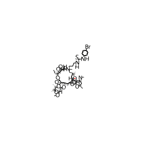 CC[C@H]1OC(=O)[C@H](C)[C@@H](O[C@@H](CCOC)O[C@@H](C)[C@@H](C)O)[C@H](C)[C@@H](O[C@@H]2O[C@H](C)C[C@H](N(C)C)[C@H]2O)[C@](C)(O)C[C@@H](C)CN(CCCNC(=S)Nc2ccc(Br)cc2)[C@H](C)[C@@H](O)[C@]1(C)O